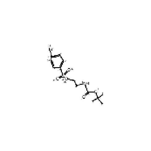 CC(C)(C)OC(=O)NCCOS(=O)(=O)c1ccc(Br)cc1